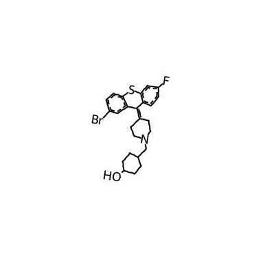 OC1CCC(CN2CCC(=C3c4ccc(F)cc4Sc4ccc(Br)cc43)CC2)CC1